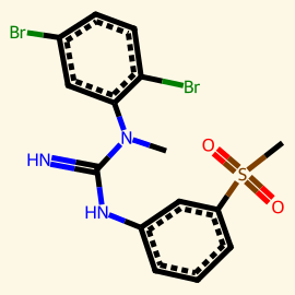 CN(C(=N)Nc1cccc(S(C)(=O)=O)c1)c1cc(Br)ccc1Br